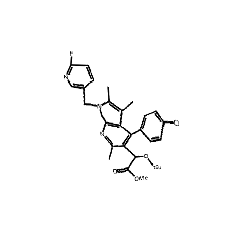 COC(=O)C(OC(C)(C)C)c1c(C)nc2c(c(C)c(C)n2Cc2ccc(F)nc2)c1-c1ccc(Cl)cc1